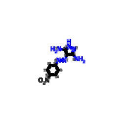 Nc1n[nH]c(N)c1N=Nc1ccc([N+](=O)[O-])cc1